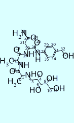 CC(/N=C/[C@H](O)[C@@H](O)[C@H](O)CO)C(=O)NC(C)C(=O)NC(CC(N)=O)C(=O)Nc1ccc(CO)cc1